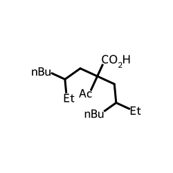 CCCCC(CC)CC(CC(CC)CCCC)(C(C)=O)C(=O)O